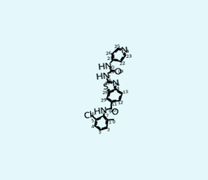 Cc1cccc(Cl)c1NC(=O)c1ccc2nc(NC(=O)Nc3ccncc3)sc2c1